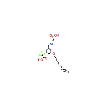 CCCCCCCCOc1cccc(CNCCC(=O)O)c1.O=C(O)C(F)(F)F